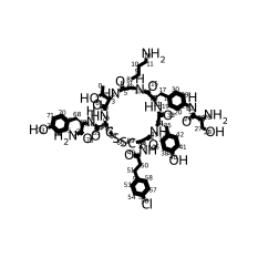 CC(O)C1NC(=O)[C@H](CCCCN)NC(=O)[C@@H](Cc2ccc(NC(=O)[C@@H](N)CO)cc2)NC(=O)[C@H](Cc2ccc(O)cc2)NC(=O)[C@H](NC(=O)CCc2ccc(Cl)cc2)CSSC[C@@H](C(=O)N[C@H](Cc2ccc(O)cc2)C(N)=O)NC1=O